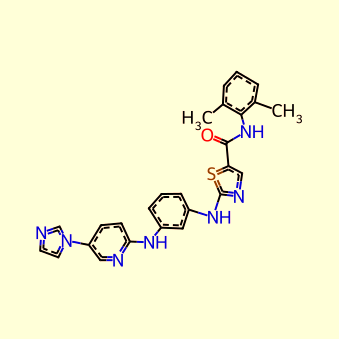 Cc1cccc(C)c1NC(=O)c1cnc(Nc2cccc(Nc3ccc(-n4ccnc4)cn3)c2)s1